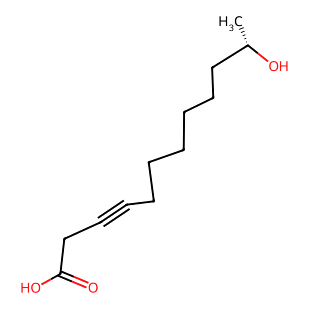 C[C@H](O)CCCCCCC#CCC(=O)O